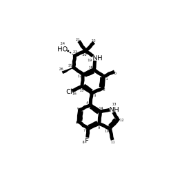 Cc1cc(-c2ccc(F)c3c(C)c[nH]c23)c(Cl)c2c1NC(C)(C)[C@@H](O)[C@@H]2C